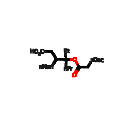 CCCCCCCCCCCC(=O)OC(CC)(CCC)C(CCCCCCCCC)CC(=O)O